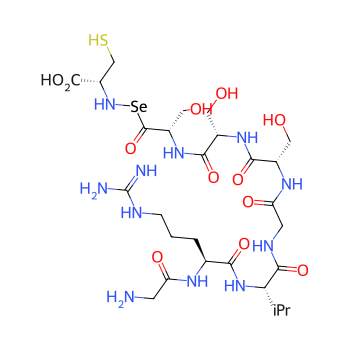 CC(C)[C@H](NC(=O)[C@H](CCCNC(=N)N)NC(=O)CN)C(=O)NCC(=O)N[C@@H](CO)C(=O)N[C@@H](CO)C(=O)N[C@@H](CO)C(=O)[Se]N[C@@H](CS)C(=O)O